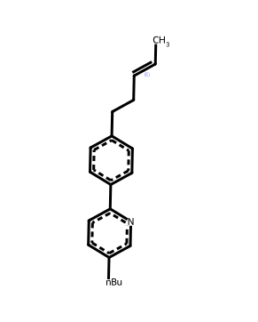 C/C=C/CCc1ccc(-c2ccc(CCCC)cn2)cc1